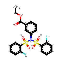 CCOC(=O)c1cccc(N(S(=O)(=O)c2ccccc2F)S(=O)(=O)c2ccccc2F)c1